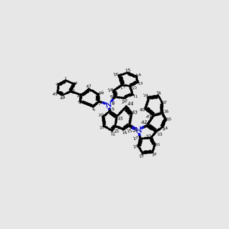 c1ccc(-c2ccc(N(c3ccc4ccccc4c3)c3cccc4cc(-n5c6ccccc6c6ccc7ccccc7c65)ccc34)cc2)cc1